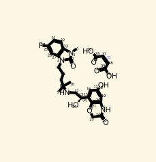 Cn1c(=O)n(CCCC(C)(C)NC[C@H](O)c2cc(O)cc3c2OCC(=O)N3)c2cc(F)ccc21.O=C(O)/C=C\C(=O)O